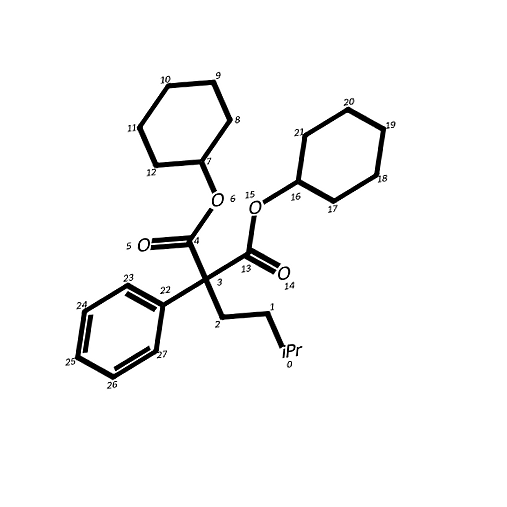 CC(C)CCC(C(=O)OC1CCCCC1)(C(=O)OC1CCCCC1)c1ccccc1